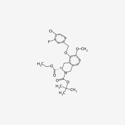 CCOC(=O)[C@@H]1Cc2c(ccc(OC)c2OCc2ccc(Cl)c(F)c2)CN1C(=O)OC(C)(C)C